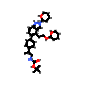 CC(CNC(=O)OC(C)(C)C)c1ccc(-c2ccc3nn(C4CCCCO4)cc3c2CCOC2CCCCO2)cc1